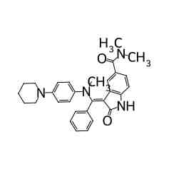 CN(C)C(=O)c1ccc2c(c1)C(=C(c1ccccc1)N(C)c1ccc(N3CCCCC3)cc1)C(=O)N2